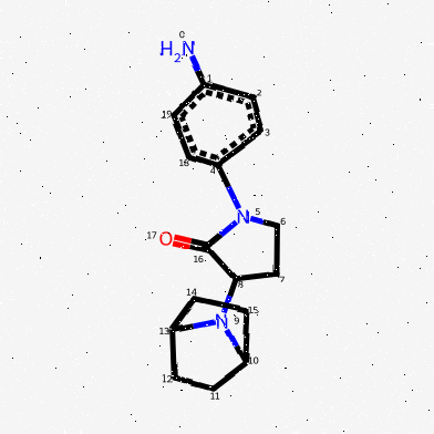 Nc1ccc(N2CCC(N3C4CCC3CC4)C2=O)cc1